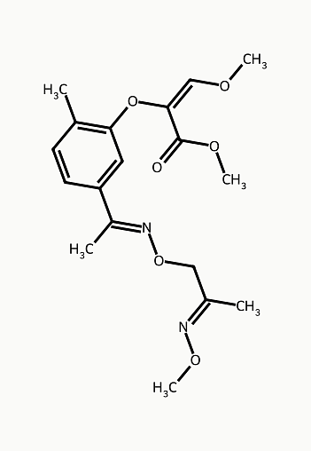 COC=C(Oc1cc(C(C)=NOCC(C)=NOC)ccc1C)C(=O)OC